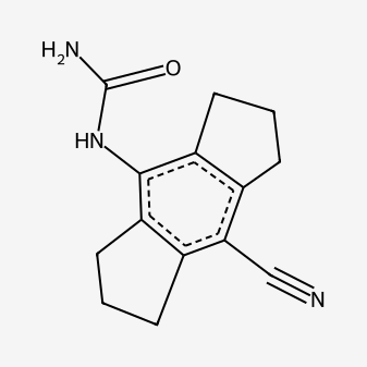 N#Cc1c2c(c(NC(N)=O)c3c1CCC3)CCC2